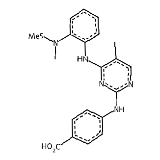 CSN(C)c1ccccc1Nc1nc(Nc2ccc(C(=O)O)cc2)ncc1C